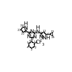 FC(F)(F)c1ccccc1-c1nc(Nc2cc(C3CC3)[nH]n2)nc(-c2ccc[nH]2)n1